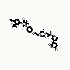 C[C@@H]1CN(CCO[C@H]2CC[C@H](N3C(=S)N(c4ccc(C#N)c(C(F)(F)F)c4)C(=O)C3(C)C)CC2)C[C@H](C)N1CC(=O)Nc1cc([C@]2(C)CCC(=O)NC2=O)ccn1